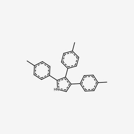 Cc1ccc(-c2c[nH]c(-c3ccc(C)cc3)c2-c2ccc(C)cc2)cc1